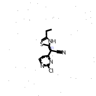 CCC1=CS/C(=C(/C#N)c2ccnc(Cl)n2)N1